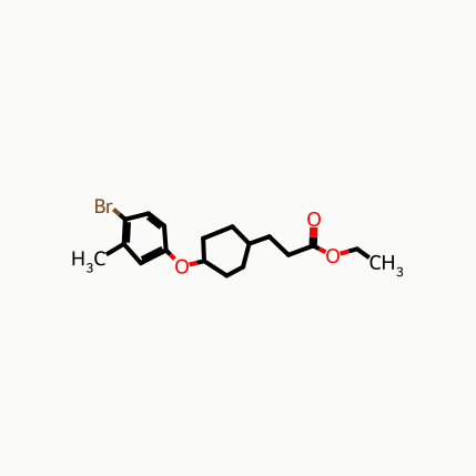 CCOC(=O)CCC1CCC(Oc2ccc(Br)c(C)c2)CC1